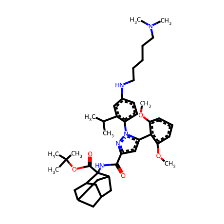 COc1cccc(OC)c1-c1cc(C(=O)NC2(C(=O)OC(C)(C)C)C3CC4CC(C3)CC2C4)nn1-c1ccc(NCCCCCN(C)C)cc1C(C)C